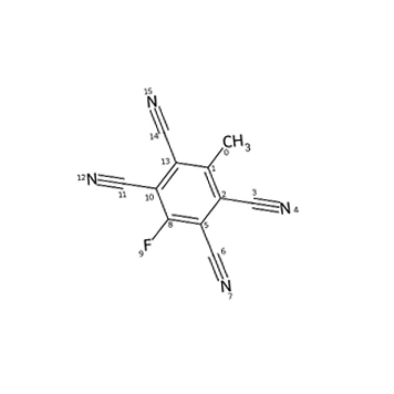 Cc1c(C#N)c(C#N)c(F)c(C#N)c1C#N